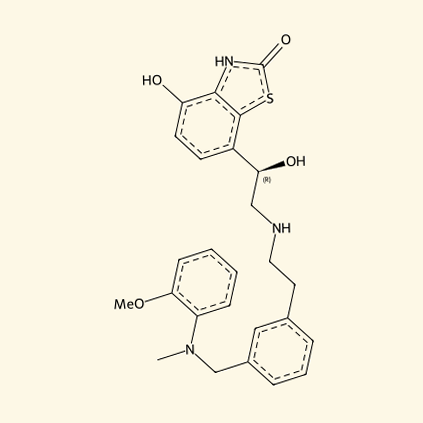 COc1ccccc1N(C)Cc1cccc(CCNC[C@H](O)c2ccc(O)c3[nH]c(=O)sc23)c1